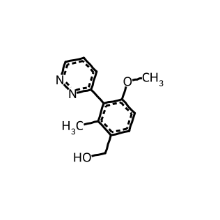 COc1ccc(CO)c(C)c1-c1cccnn1